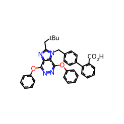 CC(C)(C)Cc1nc2c(Oc3ccccc3)nnc(Oc3ccccc3)c2n1Cc1ccc(-c2ccccc2C(=O)O)cc1